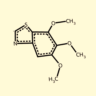 COc1cc2n[c]sc2c(OC)c1OC